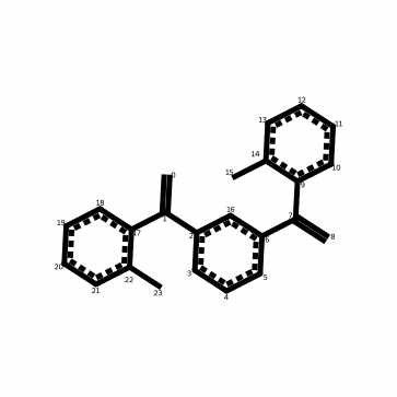 C=C(c1cccc(C(=C)c2ccccc2C)c1)c1ccccc1C